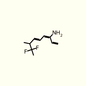 C=C/C(N)=C\C=CC(C)C(C)(F)F